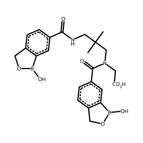 CC(C)(CNC(=O)c1ccc2c(c1)B(O)OC2)CN(CC(=O)O)C(=O)c1ccc2c(c1)B(O)OC2